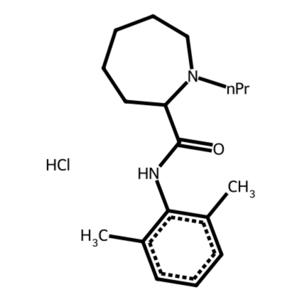 CCCN1CCCCCC1C(=O)Nc1c(C)cccc1C.Cl